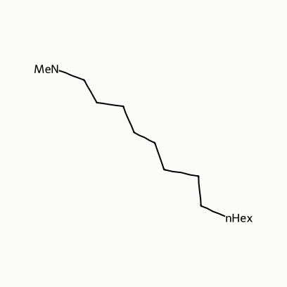 [CH2]NCCCCCCCCCCCCCC